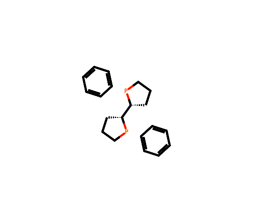 c1ccc([P@@]2CCC[C@@H]2[C@H]2CCC[P@]2c2ccccc2)cc1